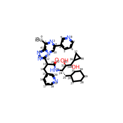 CCC(C)c1nc(-c2cccnc2)cn2c(C(Cc3cccnc3)C(=O)N[C@@H](CC3CCCCC3)[C@@H](O)[C@@H](O)C3CC3)nnc12